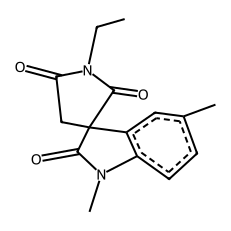 CCN1C(=O)CC2(C1=O)C(=O)N(C)c1ccc(C)cc12